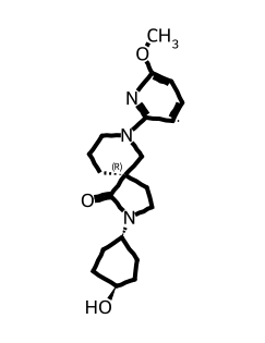 COc1cc[c]c(N2CCC[C@@]3(CCN([C@H]4CC[C@H](O)CC4)C3=O)C2)n1